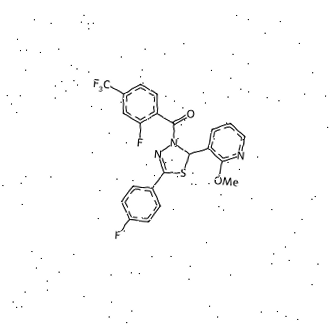 COc1ncccc1C1SC(c2ccc(F)cc2)=NN1C(=O)c1ccc(C(F)(F)F)cc1F